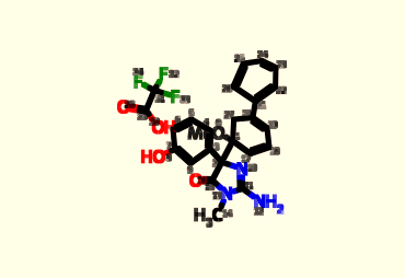 COC1(C2(c3cccc(O)c3)N=C(N)N(C)C2=O)C=CC=C(c2ccccc2)C1.O=C(O)C(F)(F)F